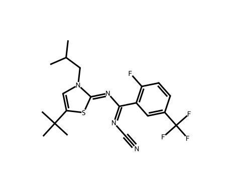 CC(C)Cn1cc(C(C)(C)C)s/c1=N\C(=N\C#N)c1cc(C(F)(F)F)ccc1F